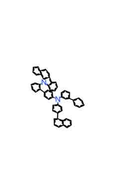 c1ccc(-c2cccc(N(c3ccc(-c4ccccc4-n4c5ccccc5c5ccc6ccccc6c54)cc3)c3ccc(-c4cccc5ccccc45)cc3)c2)cc1